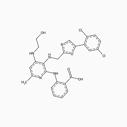 Cc1cc(NCCO)c(NCc2ncc(-c3cc(Cl)ccc3Cl)o2)c(Nc2ccccc2C(=O)O)n1